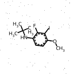 COc1ccc(NC(C)(C)C)c(F)c1I